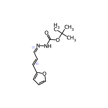 CC(C)(C)OC(=O)N/N=C\C=C\c1ccco1